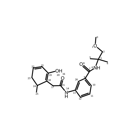 COCC(C)(C)NC(=O)c1cccc(NC(=O)CC2=C(O)C=CCC2C)c1